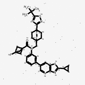 CC(C)(C)c1nc(C23CCC(CN(C(=O)C45CC(F)(C4)C5)c4cccc(-c5cnc6nc(C7CC7)sc6c5)c4)(CC2)CC3)no1